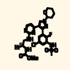 CC[C@@H](CNc1nccc(-c2cn(C3CCCCO3)nc2-c2cc(Cl)cc(NS(C)(=O)=O)c2F)n1)NC(=O)OC